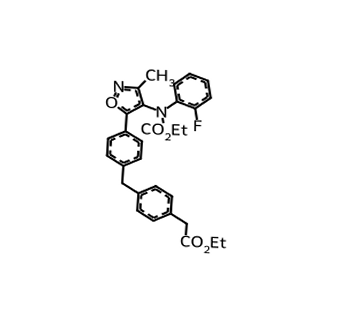 CCOC(=O)Cc1ccc(Cc2ccc(-c3onc(C)c3N(C(=O)OCC)c3ccccc3F)cc2)cc1